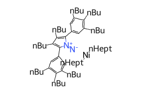 CCCCC1=C(c2cc(CCCC)c(CCCC)c(CCCC)c2)[N+](=[N-])C(c2cc(CCCC)c(CCCC)c(CCCC)c2)=C1CCCC.CCCCCC[CH2][Ni][CH2]CCCCCC